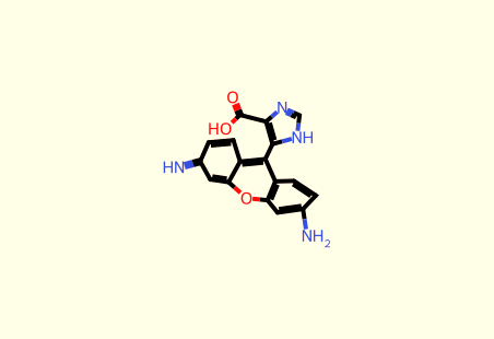 N=c1ccc2c(-c3[nH]cnc3C(=O)O)c3ccc(N)cc3oc-2c1